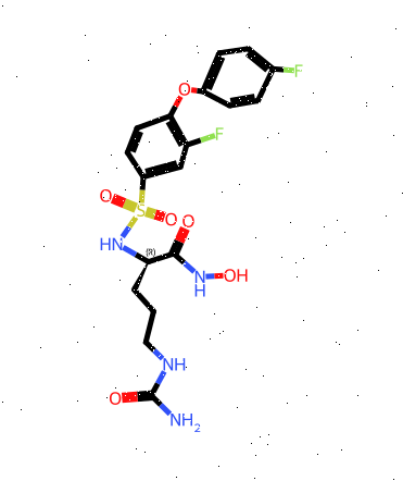 NC(=O)NCCC[C@@H](NS(=O)(=O)c1ccc(Oc2ccc(F)cc2)c(F)c1)C(=O)NO